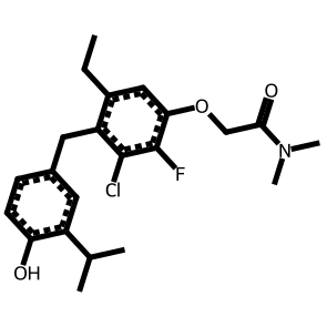 CCc1cc(OCC(=O)N(C)C)c(F)c(Cl)c1Cc1ccc(O)c(C(C)C)c1